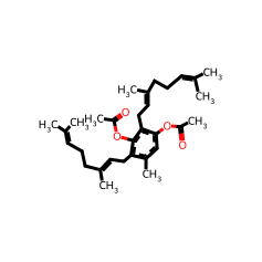 CC(=O)Oc1cc(C)c(C/C=C(\C)CCC=C(C)C)c(OC(C)=O)c1C/C=C(\C)CCC=C(C)C